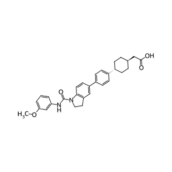 COc1cccc(NC(=O)N2CCc3cc(-c4ccc([C@H]5CC[C@H](CC(=O)O)CC5)cc4)ccc32)c1